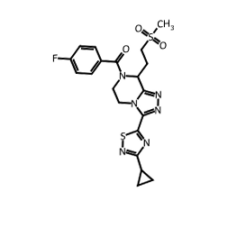 CS(=O)(=O)CCC1c2nnc(-c3nc(C4CC4)ns3)n2CCN1C(=O)c1ccc(F)cc1